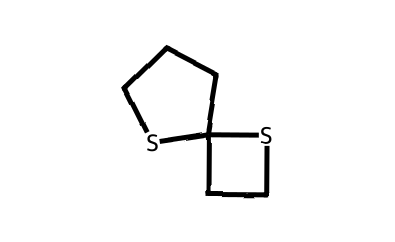 C1CSC2(C1)CCS2